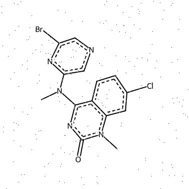 CN(c1cncc(Br)n1)c1nc(=O)n(C)c2cc(Cl)ccc12